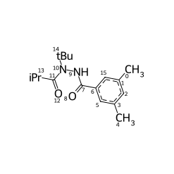 Cc1cc(C)cc(C(=O)NN(C(=O)C(C)C)C(C)(C)C)c1